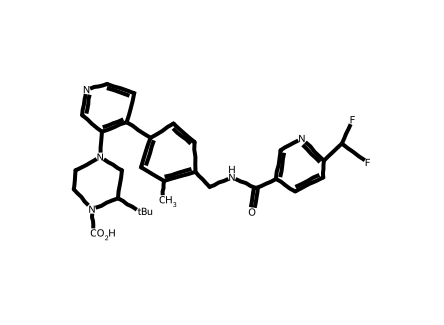 Cc1cc(-c2ccncc2N2CCN(C(=O)O)C(C(C)(C)C)C2)ccc1CNC(=O)c1ccc(C(F)F)nc1